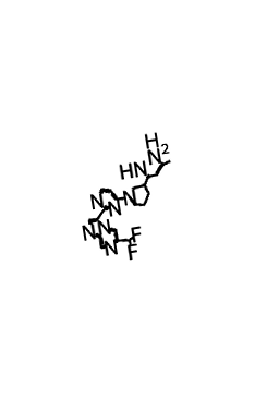 C/C(N)=C/C(=N)C1CCCN(c2ccnc(-c3cnc4cnc(C(F)F)cn34)n2)C1